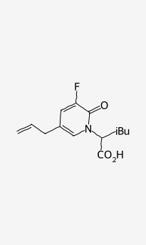 C=CCc1cc(F)c(=O)n(C(C(=O)O)C(C)CC)c1